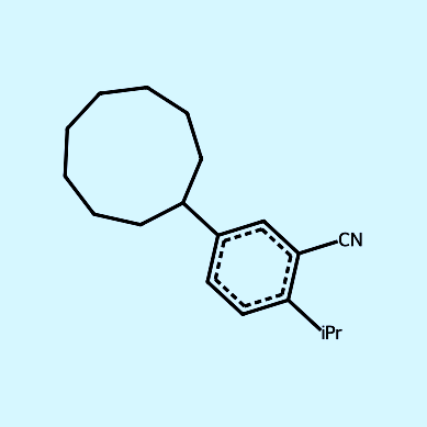 CC(C)c1ccc(C2CCCCCCCC2)cc1C#N